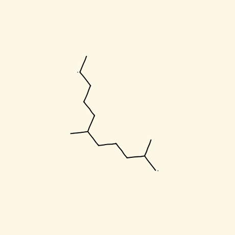 [CH2]C(C)CCCC(C)CCC[CH]C